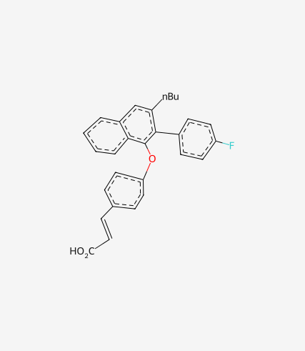 CCCCc1cc2ccccc2c(Oc2ccc(C=CC(=O)O)cc2)c1-c1ccc(F)cc1